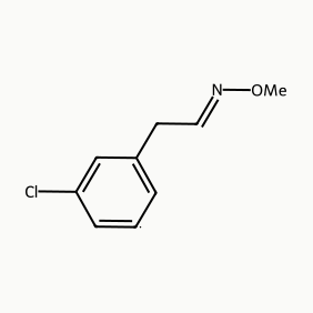 CON=CCc1c[c]cc(Cl)c1